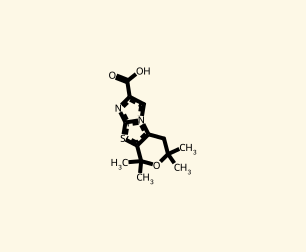 CC1(C)Cc2c(sc3nc(C(=O)O)cn23)C(C)(C)O1